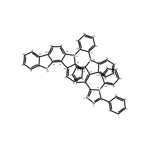 c1ccc(-c2nnc(-c3cccc4c3c3ccccc3n4-c3ccccc3-n3c4ccccc4c4c5sc6ccccc6c5ccc43)n2-c2ccccc2)cc1